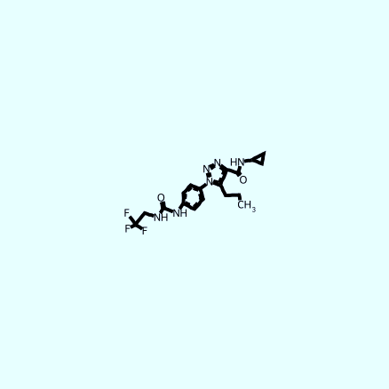 CCCc1c(C(=O)NC2CC2)nnn1-c1ccc(NC(=O)NCC(F)(F)F)cc1